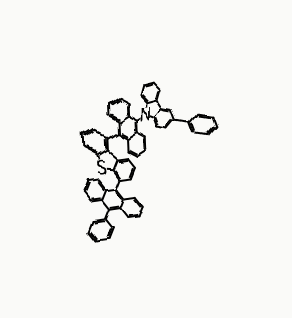 c1ccc(-c2ccc3c(c2)c2ccccc2n3-c2c3ccccc3c(-c3cccc4sc5c(-c6c7ccccc7c(-c7ccccc7)c7ccccc67)cccc5c34)c3ccccc23)cc1